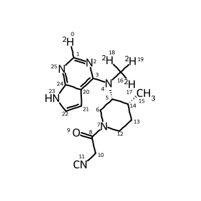 [2H]c1nc(N([C@H]2CN(C(=O)C[N+]#[C-])CC[C@H]2C)C([2H])([2H])[2H])c2cc[nH]c2n1